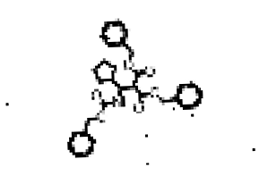 O=C(NC(C1CCCC1)C(C(=O)OCc1ccccc1)C(=O)OCc1ccccc1)OCc1ccccc1